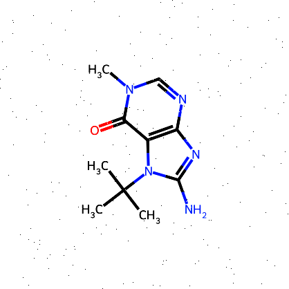 Cn1cnc2nc(N)n(C(C)(C)C)c2c1=O